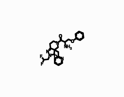 NC(COc1ccccc1)C(=O)N1CCC2=NN(CC(F)F)C(=O)C2(Cc2ccccn2)C1